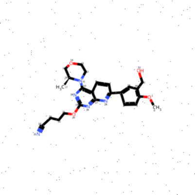 COc1ccc(-c2ccc3c(N4CCOC[C@@H]4C)nc(OCCCC#N)nc3n2)cc1CO